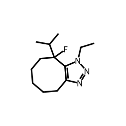 CCn1nnc2c1C(F)(C(C)C)CCCCC2